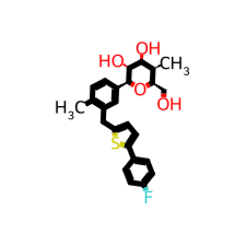 Cc1ccc([C@@H]2O[C@H](CO)[C@@H](C)[C@H](O)[C@H]2O)cc1Cc1ccc(-c2ccc(F)cc2)s1